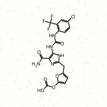 NC(=O)c1nc(Cc2ccc(OC(=O)O)o2)[nH]c1NC(=O)Nc1ccc(Cl)cc1C(F)(F)F